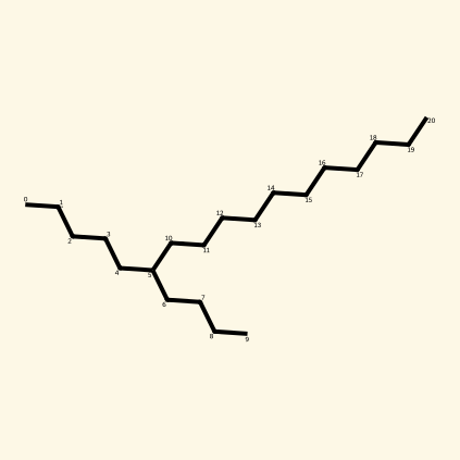 C[CH]CCCC(CCCC)CCCCCCCCCCC